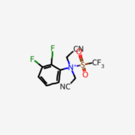 N#CC[N+](CC#N)(c1cccc(F)c1F)S(=O)(=O)C(F)(F)F